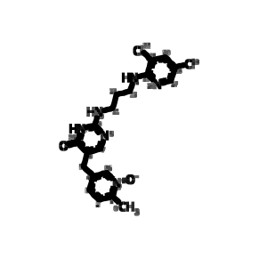 Cc1ccc(Cc2cnc(NCCCNc3ncc(Cl)cc3Cl)[nH]c2=O)c[n+]1[O-]